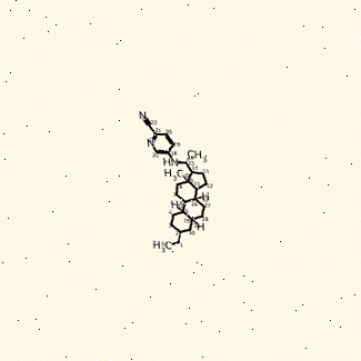 CC[C@H]1CC[C@@H]2C3CC[C@@]4(C)C(CCC4[C@@H](C)Nc4ccc(C#N)nc4)[C@@H]3CC[C@@H]2C1